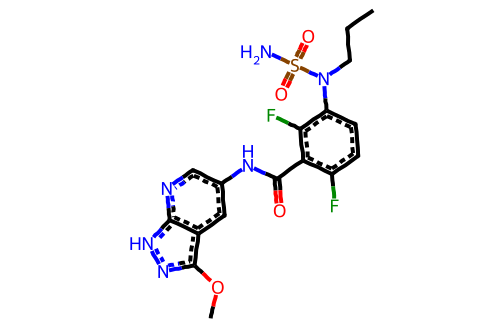 CCCN(c1ccc(F)c(C(=O)Nc2cnc3[nH]nc(OC)c3c2)c1F)S(N)(=O)=O